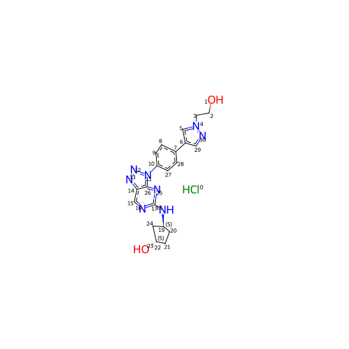 Cl.OCCn1cc(-c2ccc(-n3nnc4cnc(N[C@H]5CC[C@H](O)C5)nc43)cc2)cn1